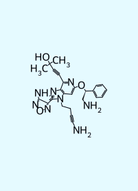 CC(C)(O)C#Cc1nc(O[C@H](CN)c2ccccc2)cc2c1nc(-c1nonc1N)n2CCC#CN